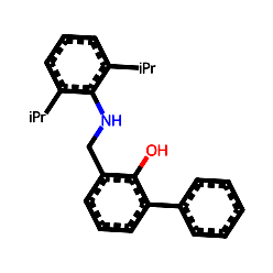 CC(C)c1cccc(C(C)C)c1NCc1cccc(-c2ccccc2)c1O